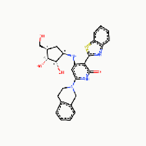 O=c1[nH]c(N2CCc3ccccc3C2)cc(N[C@@H]2C[C@H](CO)[C@@H](O)[C@H]2O)c1-c1nc2ccccc2s1